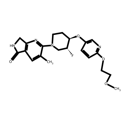 COCCOc1ccc(O[C@@H]2CCN(c3nc4c(cc3C)C(=O)NC4)C[C@H]2F)cn1